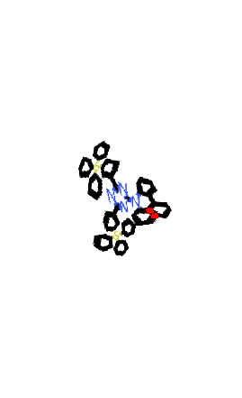 c1ccc(-c2ccccc2N(c2ccccc2)c2nc(-c3cccc(S(c4ccccc4)(c4ccccc4)c4ccccc4)c3)nc(-c3cccc(S(c4ccccc4)(c4ccccc4)c4ccccc4)c3)n2)cc1